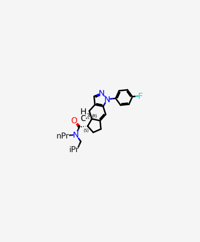 CCCN(CC(C)C)C(=O)[C@H]1CCC2=Cc3c(cnn3-c3ccc(F)cc3)C[C@@]21C